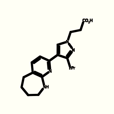 CCCc1nn(CCC(=O)O)cc1-c1ccc2c(n1)NCCCC2